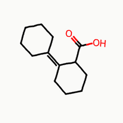 O=C(O)C1CCCCC1=C1CCCCC1